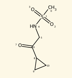 CS(=O)(=O)NCC(=O)C1CC1